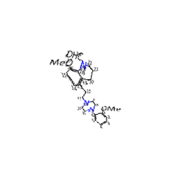 COc1ccccc1N1CCN(CCc2ccc(OC)c3c2CCCN3C=O)CC1